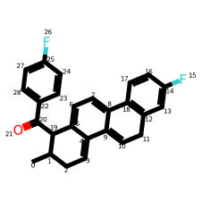 CC1CC=c2c(ccc3c2=CCc2cc(F)ccc2-3)C1C(=O)c1ccc(F)cc1